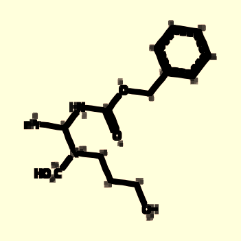 CCCC(NC(=O)OCc1ccccc1)N(CCCO)C(=O)O